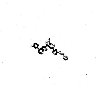 Fc1cccc(-c2ccnc3[nH]c(-c4n[nH]c5cnc(-c6cncc(OCCN7CCCC7)c6)cc45)cc23)c1